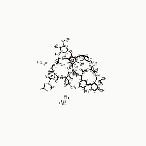 CN[C@H](CC(C)C)C(=O)N[C@H]1C(=O)N[C@@H](CC(N)=O)C(=O)N[C@H]2C(=O)N[C@H]3C(=O)N[C@H](C(=O)N[C@@H](C(=O)O)c4cc(O)cc(O)c4-c4cc3ccc4O)[C@H](O)c3ccc(c(Cl)c3)Oc3cc2cc(c3O[C@@H]2O[C@H](CO)[C@@H](O)[C@H](O)[C@H]2O[C@H]2C[C@](C)(N)C(O)[C@H](C)O2)Oc2ccc(cc2Cl)[C@H]1O.Cl.O.O.O.O